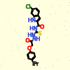 CC(C)c1ccc(OCC(=O)NNC(=S)NC(=O)c2cc3ccc(Cl)cc3[nH]2)cc1